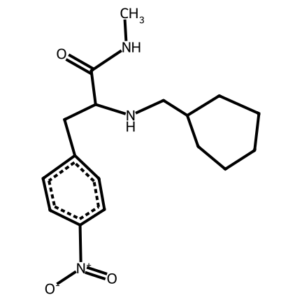 CNC(=O)C(Cc1ccc([N+](=O)[O-])cc1)NCC1CCCCC1